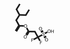 C=C(CC(CC)CC)OC(=O)CC(F)(F)S(=O)(=O)O